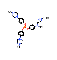 CCCN(CCNC=O)c1ccc(OP(Oc2ccc(N3CCN(C)CC3)cc2)Oc2ccc(N3CCN(C(C)=O)CC3)cc2)cc1